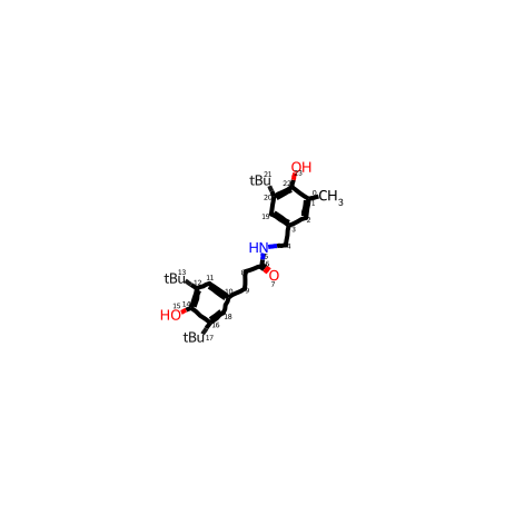 Cc1cc(CNC(=O)CCc2cc(C(C)(C)C)c(O)c(C(C)(C)C)c2)cc(C(C)(C)C)c1O